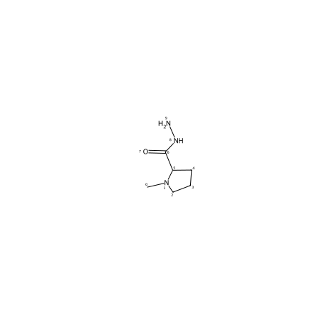 CN1CCCC1C(=O)NN